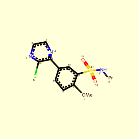 COc1ccc(-c2nccnc2Cl)cc1S(=O)(=O)NC(C)C